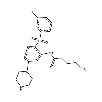 CCCCC(=O)Nc1cc(N2CCNCC2)ccc1S(=O)(=O)c1cccc(F)c1